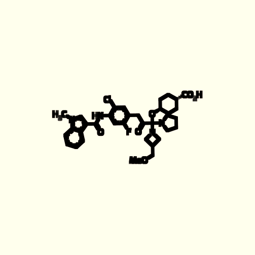 COCC1CN(C(O[C@H]2CC[C@H](C(=O)O)CC2)(C(=O)Cc2cc(Cl)c(NC(=O)c3cn(C)c4ccccc34)cc2F)N2CCCC2)C1